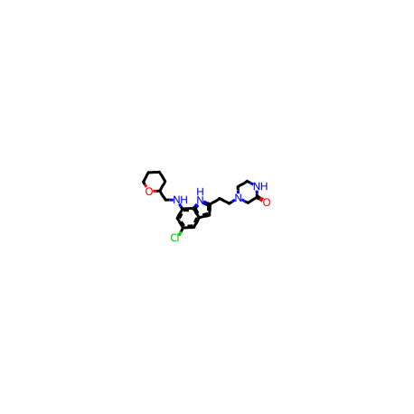 O=C1CN(CCc2cc3cc(Cl)cc(NCC4CCCCO4)c3[nH]2)CCN1